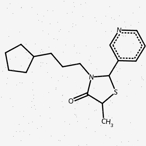 CC1SC(c2cccnc2)N(CCCC2CCCC2)C1=O